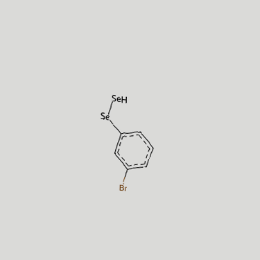 [SeH][Se]c1cccc(Br)c1